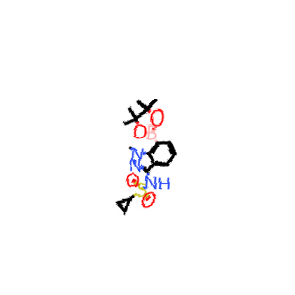 Cn1nc(NS(=O)(=O)C2CC2)c2cccc(B3OC(C)(C)C(C)(C)O3)c21